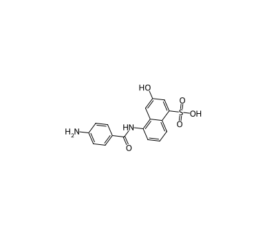 Nc1ccc(C(=O)Nc2cccc3c(S(=O)(=O)O)cc(O)cc23)cc1